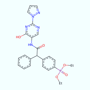 CCOP(=O)(OCC)c1ccc(C(C(=O)Nc2cnc(-n3cccn3)nc2O)c2ccccc2)cc1